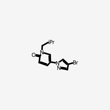 CC(C)Cn1cc(-n2cc(Br)cn2)ccc1=O